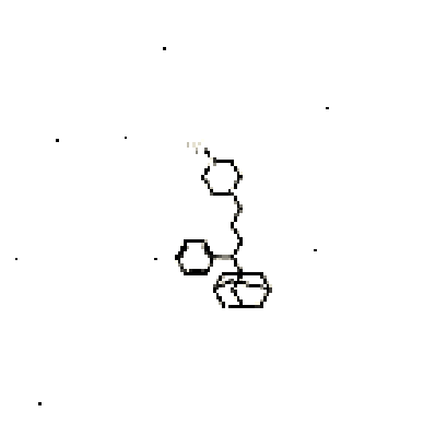 CN1CCN(CCCC(c2ccccc2)C23CC4CC(CC(C4)C2)C3)CC1